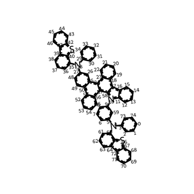 c1ccc(N(c2cccc(-n3c4ccccc4c4c5ccccc5c5c6cc(N(c7ccccc7)c7cccc8c7sc7ccccc78)ccc6c6ccccc6c5c43)c2)c2cccc3c2sc2ccccc23)cc1